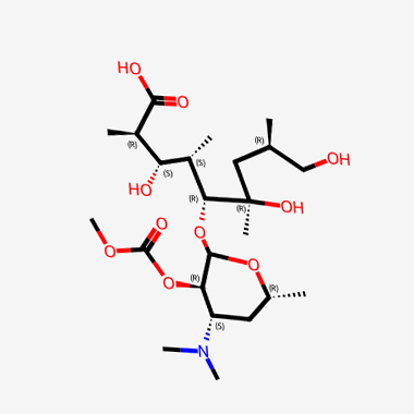 COC(=O)O[C@H]1C(O[C@H]([C@@H](C)[C@H](O)[C@@H](C)C(=O)O)[C@](C)(O)C[C@@H](C)CO)O[C@H](C)C[C@@H]1N(C)C